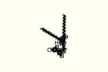 CCCCCCCCCCCCCCCC(=O)OCC(OC(=O)CCC(C)C(=O)Oc1cc(Cl)ccc1Oc1ccc(Cl)cc1Cl)C(O)C(=O)CCCCCCCCCCCCCCC